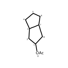 CC(=O)OC1CC2CCCC2C1